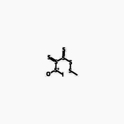 CSSS(=S)S(=S)[S+]([O-])I